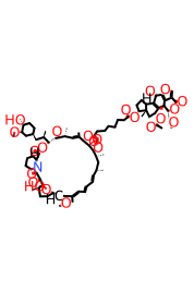 COC[C@H]1OC(=O)c2coc3c2[C@@]1(C)C1=C(C3=O)[C@@H]2CC[C@H](OC(=O)CCCCCCC(=O)O[C@@H]3/C(C)=C/[C@@H](C)C(=O)C[C@@H]([C@H](C)C[C@@H]4CC[C@@H](O)[C@H](OC)C4)OC(=O)[C@@H]4CCCCN4C(=O)C(=O)[C@]4(O)O[C@@H](CC[C@H]4C)C[C@H](OC)/C(C)=C/C=C/C=C/[C@@H](C)C[C@@H](C)C(=O)[C@@H]3OC)[C@@]2(C)C[C@H]1OC(C)=O